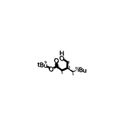 CC[C@@H](C)C[C@H](CO)CC(=O)OC(C)(C)C